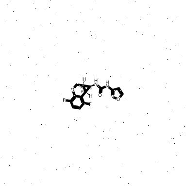 O=C(Nc1ccon1)N[C@@H]1[C@@H]2COc3c(F)ccc(F)c3[C@@H]21